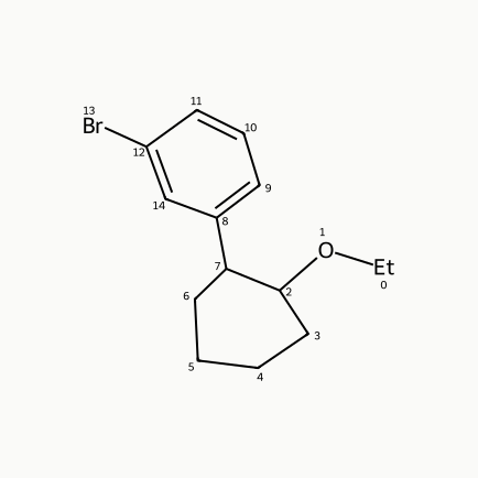 CCOC1CCCCC1c1cccc(Br)c1